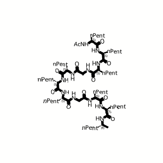 CCCCC[C@@H](C)NC(=O)[C@H](CCCCC)NC(=O)[C@H](CCCCC)NC(=O)CNC(=O)[C@H](CCCCC)NC(=O)[C@H](CCCCC)NC(=O)[C@H](CCCCC)NC(=O)CNC(=O)[C@H](CCCCC)NC(=O)[C@H](CCCCC)NC(=O)[C@H](CCCCC)NC(C)=O